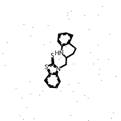 S=c1sc2ccccc2n1CC1CCc2ccccc2N1